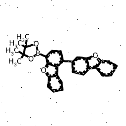 CC1(C)OB(c2ccc(-c3ccc4c(c3)oc3ccccc34)c3c2oc2ccccc23)OC1(C)C